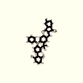 Cc1ccc2c(c1)C(=O)/C(=C\c1ccc3c(c1)C(C)(C)c1cc(-c4c(F)cccc4F)ccc1N3c1ccccc1)C2=O